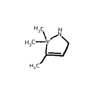 CC1=CCN[N+]1(C)C